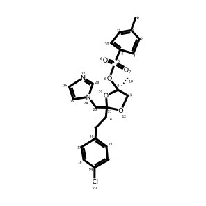 Cc1ccc(S(=O)(=O)O[C@@]2(C)COC(CCc3ccc(Cl)cc3)(Cn3ccnc3)O2)cc1